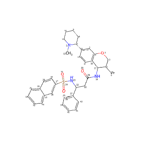 CC(C)C1COc2cc(C3CCCCN3C)ccc2C1NC(=O)CC(NS(=O)(=O)c1ccc2ccccc2c1)c1ccccc1